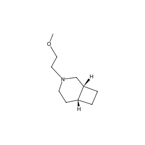 COCCN1CC[C@H]2CC[C@H]2C1